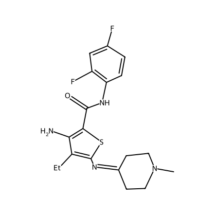 CCc1c(N=C2CCN(C)CC2)sc(C(=O)Nc2ccc(F)cc2F)c1N